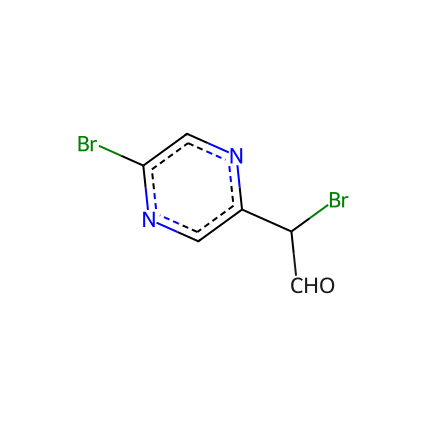 O=CC(Br)c1cnc(Br)cn1